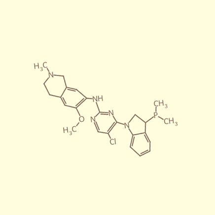 COc1cc2c(cc1Nc1ncc(Cl)c(N3CC(P(C)C)c4ccccc43)n1)CN(C)CC2